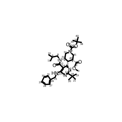 COC(=O)[C@@H]1C[C@H](N(CC(C)C)C(=O)c2cnc(C(C)(C)C)nc2NCc2ccccc2)CN(C(=O)OC(C)(C)C)C1